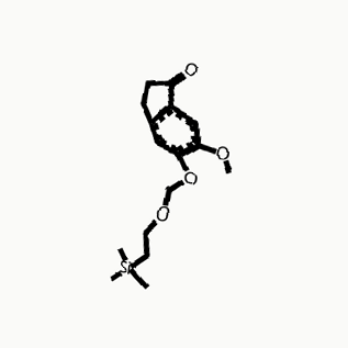 COc1cc2c(cc1OCOCC[Si](C)(C)C)CCC2=O